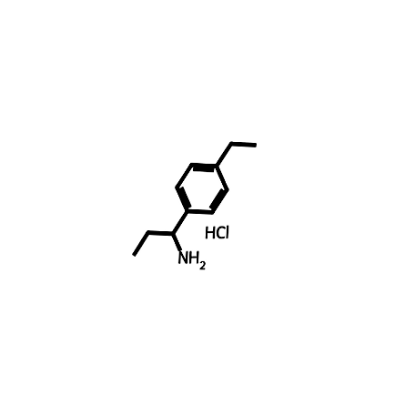 CCc1ccc(C(N)CC)cc1.Cl